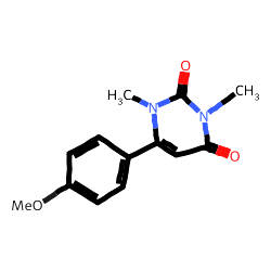 COc1ccc(-c2cc(=O)n(C)c(=O)n2C)cc1